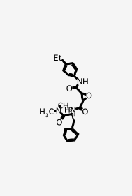 CCc1ccc(NC(=O)C2OC2C(=O)N[C@@H](Cc2ccccc2)C(=O)N(C)C)cc1